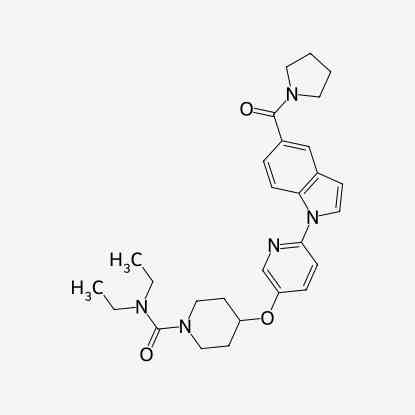 CCN(CC)C(=O)N1CCC(Oc2ccc(-n3ccc4cc(C(=O)N5CCCC5)ccc43)nc2)CC1